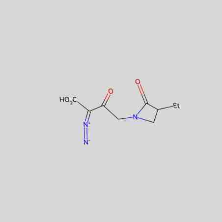 CCC1CN(CC(=O)C(=[N+]=[N-])C(=O)O)C1=O